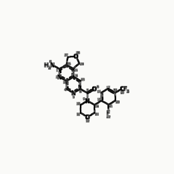 Nc1nc2cnc(C(=O)N3CCOCC3C3=CC=C(C(F)(F)F)CC3F)cc2c2c1COC2